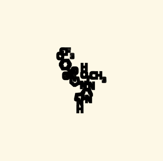 CC(O)c1nc2cnc3[nH]ccc3c2n1C1CCN(S(=O)(=O)c2ccc(OC(F)(F)F)cc2)C1